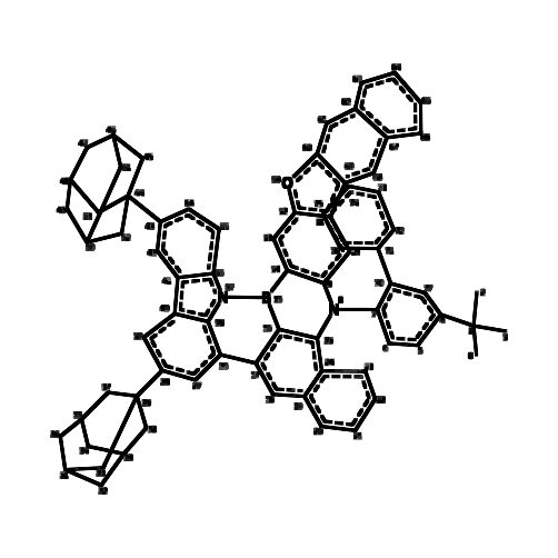 CC(C)(C)c1ccc(N2c3cc4c(cc3B3c5c(cc6ccccc6c52)-c2cc(C56CC7CC(CC(C7)C5)C6)cc5c6cc(C78CC9CC(CC(C9)C7)C8)ccc6n3c25)oc2cc3ccccc3cc24)c(-c2ccccc2)c1